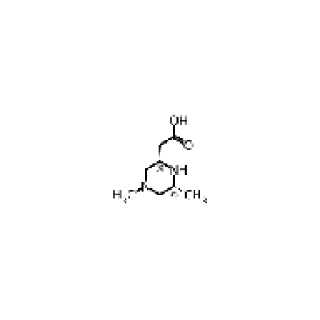 C[C@@H]1CN(C)C[C@@H](CC(=O)O)N1